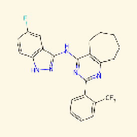 Fc1ccc2[nH]nc(Nc3nc(-c4ccccc4C(F)(F)F)nc4c3CCCCC4)c2c1